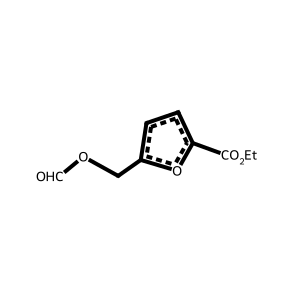 CCOC(=O)c1ccc(COC=O)o1